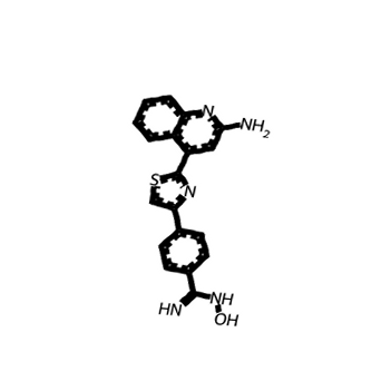 N=C(NO)c1ccc(-c2csc(-c3cc(N)nc4ccccc34)n2)cc1